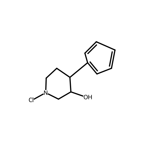 OC1CN(Cl)CCC1c1ccccc1